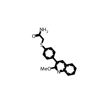 COc1nc2ccccc2cc1-c1ccc(SCC(N)=O)cc1